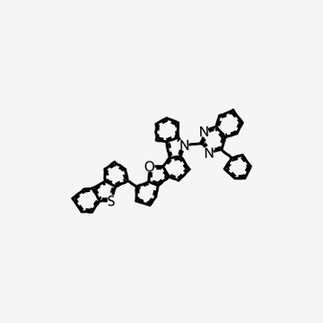 c1ccc(-c2nc(-n3c4ccccc4c4c5oc6c(-c7cccc8c7sc7ccccc78)cccc6c5ccc43)nc3ccccc23)cc1